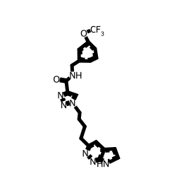 O=C(NCc1cccc(OC(F)(F)F)c1)c1cn(CCCCc2cc3cc[nH]c3nn2)nn1